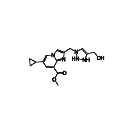 COC(=O)c1cc(C2CC2)cn2cc(CN3C=C(CO)NN3)nc12